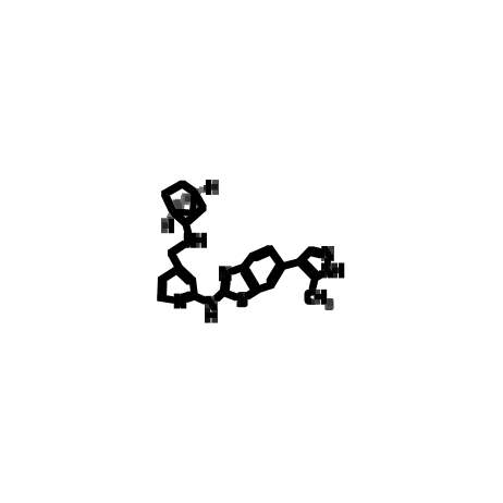 Cc1[nH]ncc1-c1ccc2nc(Nc3cc(CNC4C[C@@H]5CC[C@H]4C5)ccn3)sc2c1